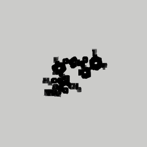 CNS(=O)(=O)c1c(C)nn(-c2cc(OC3CN(C(=O)N4N=CC[C@H]4c4cc(F)cc(F)c4)C3)c(F)cn2)c1C